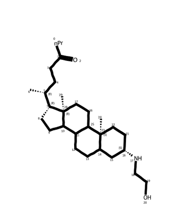 CCCC(=O)CC[C@@H](C)[C@H]1CCC2C3CCC4C[C@@H](NCCO)CC[C@]4(C)C3CC[C@@]21C